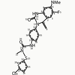 C=C1c2cc(F)c(NC)cc2NC(=O)N1c1ccc(NC(=O)N(C)Sc2ccc(Cl)s2)cc1